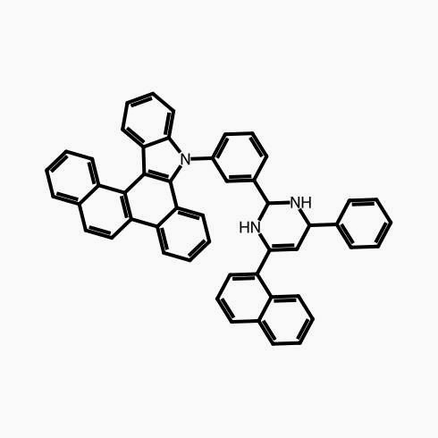 C1=C(c2cccc3ccccc23)NC(c2cccc(-n3c4ccccc4c4c5c6ccccc6ccc5c5ccccc5c43)c2)NC1c1ccccc1